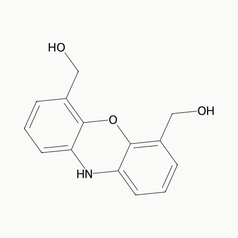 OCc1cccc2c1Oc1c(CO)cccc1N2